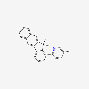 Cc1ccc(-c2cccc3c2C(C)(C)c2cc4ccccc4cc2-3)nc1